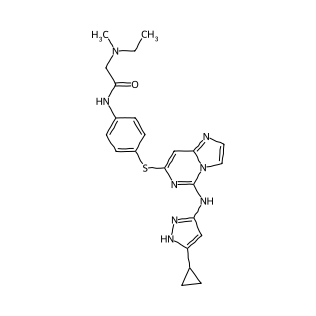 CCN(C)CC(=O)Nc1ccc(Sc2cc3nccn3c(Nc3cc(C4CC4)[nH]n3)n2)cc1